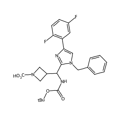 CC(C)(C)OC(=O)NC(c1nc(-c2cc(F)ccc2F)cn1Cc1ccccc1)C1CN(C(=O)O)C1